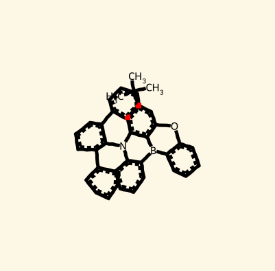 CC(C)(C)c1cc2c3c(c1)N(c1c(-c4ccccc4)cccc1-c1ccccc1)c1ccccc1B3c1ccccc1O2